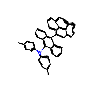 Cc1ccc(N(c2ccc(C)cc2)c2c3ccccc3c(-c3cc4cccc5ccc6cccc3c6c54)c3ccccc23)cc1